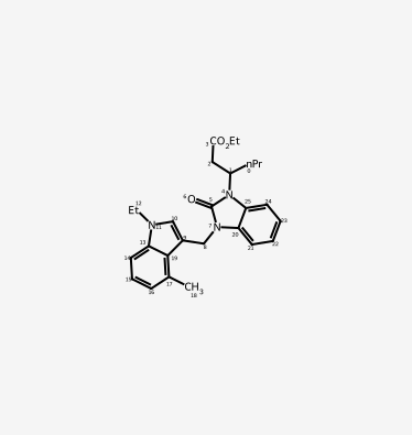 CCCC(CC(=O)OCC)n1c(=O)n(Cc2cn(CC)c3cccc(C)c23)c2ccccc21